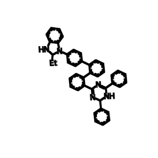 CCC1Nc2ccccc2N1c1ccc(-c2ccccc2-c2ccccc2C2=NC(c3ccccc3)NC(c3ccccc3)=N2)cc1